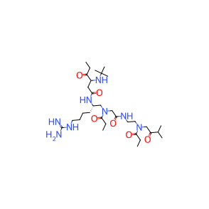 CCC(=O)C(CC(=O)N[C@@H](CCCCNC(=N)N)CN(CC(=O)NCCN(CC(=O)C(C)C)C(=O)CC)C(=O)CC)NC(C)(C)C